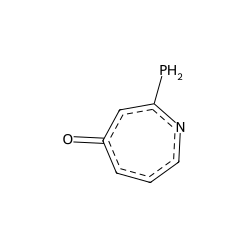 O=c1cccnc(P)c1